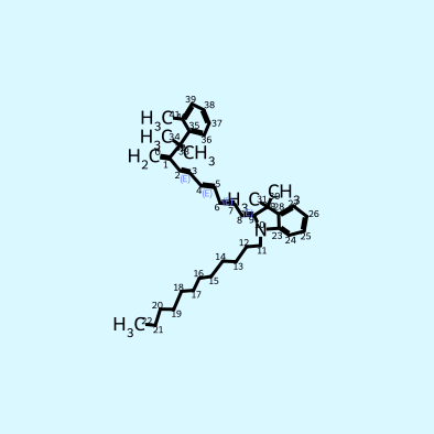 C=C(/C=C/C=C/C=C/C=C1/N(CCCCCCCCCCCC)c2ccccc2C1(C)C)C(C)(C)c1ccccc1C